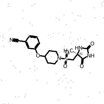 C[C@]1(CS(=O)(=O)N2CCC(Oc3cccc(C#N)c3)CC2)NC(=O)NC1=O